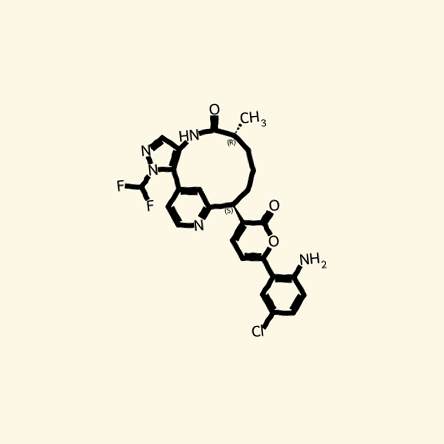 C[C@@H]1CCC[C@@H](c2ccc(-c3cc(Cl)ccc3N)oc2=O)c2cc(ccn2)-c2c(cnn2C(F)F)NC1=O